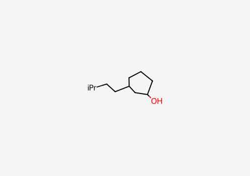 CC(C)CCC1CCCC(O)C1